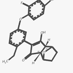 CCc1ccc(Oc2ccc(Cl)cc2F)cc1C1=C(O)[C@@H]2C3CCC(O3)[C@@H]2C1=O